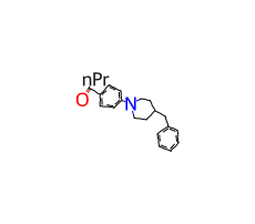 CCCC(=O)c1ccc(N2CCC(Cc3ccccc3)CC2)cc1